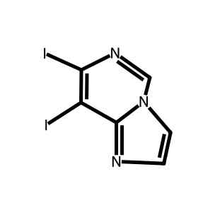 Ic1ncn2ccnc2c1I